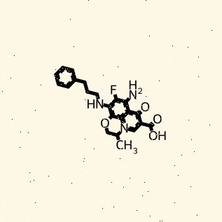 CC1COc2c(NCCCc3ccccc3)c(F)c(N)c3c(=O)c(C(=O)O)cn1c23